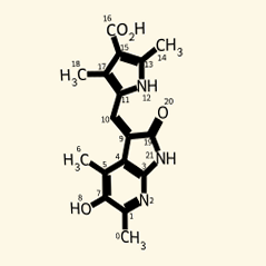 Cc1nc2c(c(C)c1O)/C(=C/c1[nH]c(C)c(C(=O)O)c1C)C(=O)N2